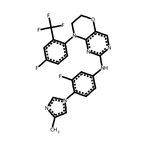 Cc1cn(-c2ccc(Nc3ncc4c(n3)N(c3ccc(F)cc3C(F)(F)F)CCO4)cc2F)cn1